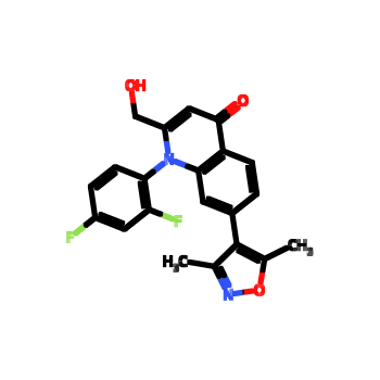 Cc1noc(C)c1-c1ccc2c(=O)cc(CO)n(-c3ccc(F)cc3F)c2c1